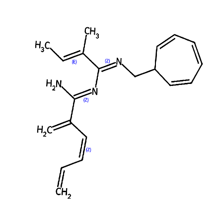 C=C/C=C\C(=C)/C(N)=N/C(=N\CC1C=CC=CC=C1)C(/C)=C/C